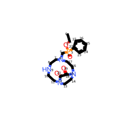 CCOP(=O)(CN1CCNCCN2CCN(CC1)C(=O)C2=O)c1ccccc1